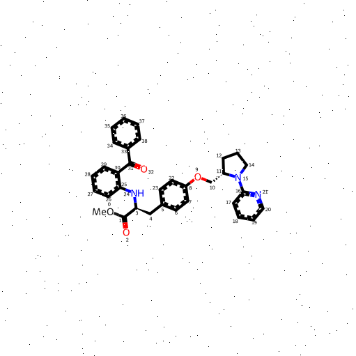 COC(=O)[C@H](Cc1ccc(OC[C@@H]2CCCN2c2ccccn2)cc1)Nc1ccccc1C(=O)c1ccccc1